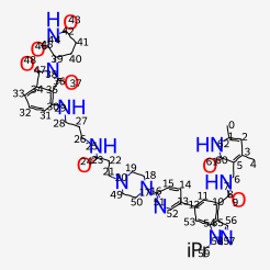 Cc1cc(C)c(CNC(=O)c2cc(-c3ccc(N4CCN(CCC(=O)NCCCNc5cccc6c5C(=O)N(C5CCC(=O)NC5=O)C6=O)CC4)nc3)cc3c2cnn3C(C)C)c(=O)[nH]1